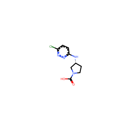 O=C(O)N1CC[C@@H](Nc2ccc(Cl)nn2)C1